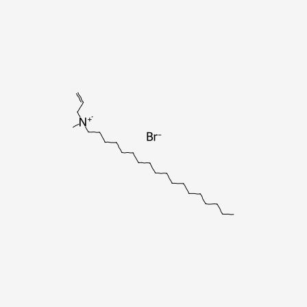 C=CC[N+](C)(C)CCCCCCCCCCCCCCCCCC.[Br-]